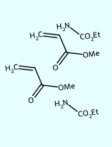 C=CC(=O)OC.C=CC(=O)OC.CCOC(N)=O.CCOC(N)=O